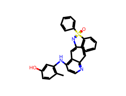 Cc1ccc(O)cc1Nc1ccnc2ccc(N=S(=O)(c3ccccc3)c3ccccc3)cc12